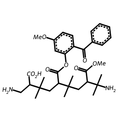 COC(=O)C(CC(C)(C)C(CC(C)(C)C(CN)C(=O)O)C(=O)Oc1cc(OC)ccc1C(=O)c1ccccc1)C(C)(C)N